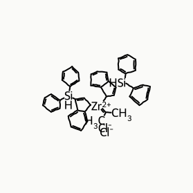 C[C](C)=[Zr+2]([CH]1C=C([SiH](c2ccccc2)c2ccccc2)c2ccccc21)[CH]1C=C([SiH](c2ccccc2)c2ccccc2)c2ccccc21.[Cl-].[Cl-]